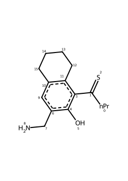 CCCC(=S)c1c(O)c(CN)cc2c1CCCC2